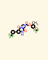 Cc1cc(OC(F)(F)F)ccc1OCC(=O)N1CCN2C(=O)c3cc(-c4cccc(C(F)(F)F)c4)ccc3NC(=O)C2C1